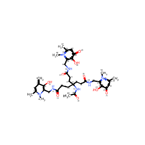 C=C1C=C(C)N(C)C(CNC(=O)CCC(CCC(=O)NCc2c(O)c(=O)cc(C)n2C)(CCC(=O)NCc2c(O)c(=O)cc(C)n2C)NC(C)=O)=C1O